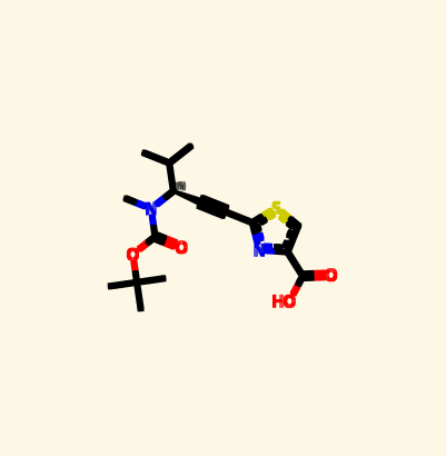 CC(C)[C@@H](C#Cc1nc(C(=O)O)cs1)N(C)C(=O)OC(C)(C)C